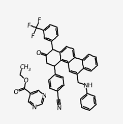 CCOC(=O)c1cncnc1.N#Cc1ccc(C2CC(=O)C(c3cccc(C(F)(F)F)c3)c3ccc4c(cc(CNc5ccccc5)c5ccccc54)c32)cc1